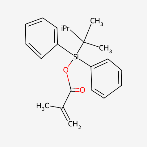 C=C(C)C(=O)O[Si](c1ccccc1)(c1ccccc1)C(C)(C)C(C)C